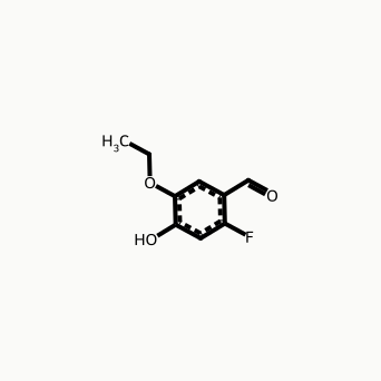 CCOc1cc(C=O)c(F)cc1O